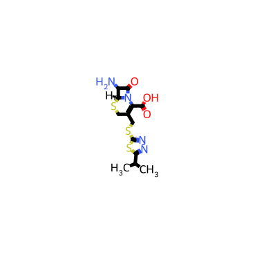 CC(C)c1nnc(SCC2=C(C(=O)O)N3C(=O)C(N)[C@H]3SC2)s1